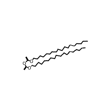 C=C(OCCCCCCCCCCCCCCCCCC)OC(=C)OCCCCCCCCCCCCCCCCCC